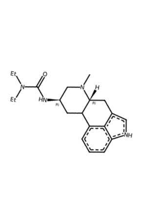 CCN(CC)C(=O)N[C@@H]1CC2c3cccc4[nH]cc(c34)C[C@H]2N(C)C1